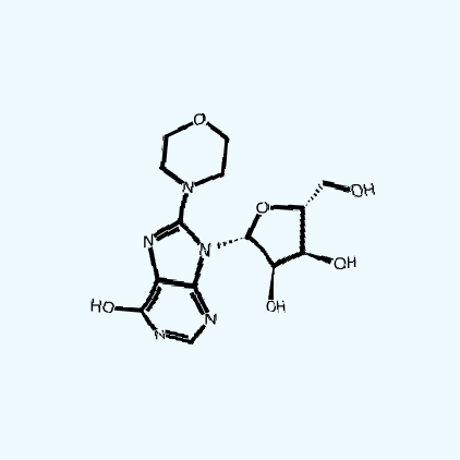 OC[C@H]1O[C@@H](n2c(N3CCOCC3)nc3c(O)ncnc32)[C@H](O)[C@@H]1O